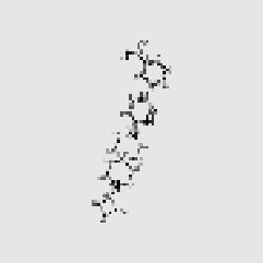 CC(=O)c1cccc(-c2ccc(N3CCC4(CC3)CCN(C3CCC3)CC4)nn2)c1